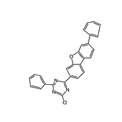 Clc1nc(-c2ccccc2)nc(-c2ccc3c(c2)oc2cc(-c4ccccc4)ccc23)n1